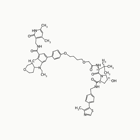 CCN(c1cc(-c2ccc(OCCCCOCC(=O)N[C@H](C(=O)N3C[C@H](O)C[C@H]3C(=O)NCc3ccc(-c4scnc4C)cc3)C(C)(C)C)cc2)cc(C(=O)NCc2c(C)cc(C)[nH]c2=O)c1C)C1CCOCC1